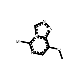 COc1cnc(Br)n2cnnc12